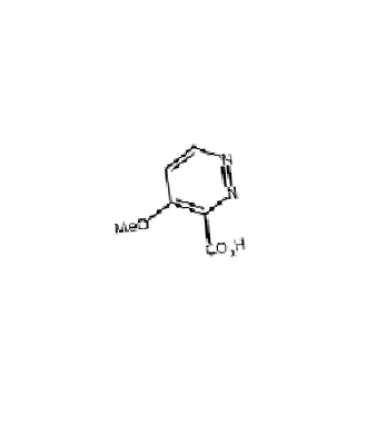 COc1ccnnc1C(=O)O